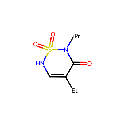 CCC1=CNS(=O)(=O)N(C(C)C)C1=O